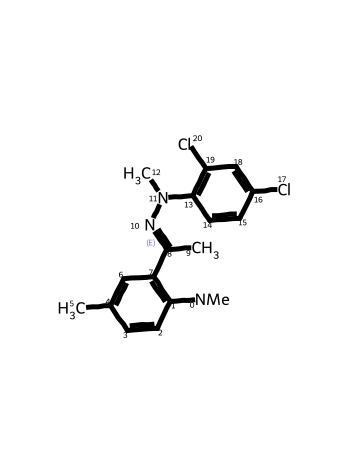 CNc1ccc(C)cc1/C(C)=N/N(C)c1ccc(Cl)cc1Cl